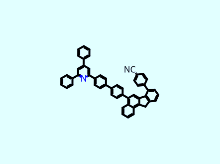 N#Cc1ccc(-c2cccc3c2-c2cc(-c4ccc(-c5ccc(-c6cc(-c7ccccc7)cc(-c7ccccc7)n6)cc5)cc4)c4ccccc4c2C3)cc1